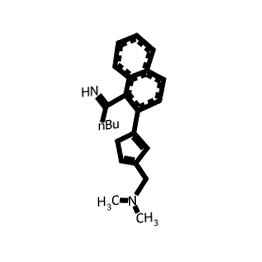 CCCCC(=N)c1c(C2=CC(CN(C)C)=CC2)ccc2ccccc12